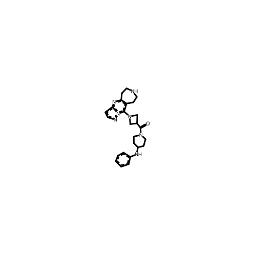 O=C(C1CN(c2c3c(nc4ccnn24)CCNCC3)C1)N1CCC(Nc2ccccc2)CC1